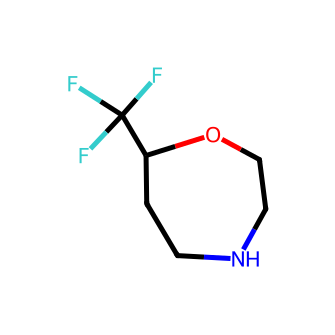 FC(F)(F)C1CCNCCO1